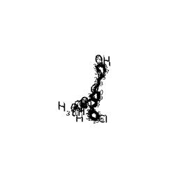 CC(C)(C)NC(=O)Cn1c(-c2cccc(Cl)c2)cc2ccc(OCCCN3CCC(O)CC3)cc2c1=O